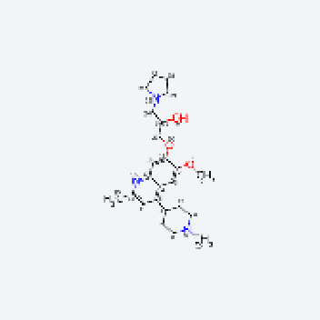 COc1cc2c(C3CCN(C)CC3)cc(C)nc2cc1OC[C@H](O)CN1CCCC1